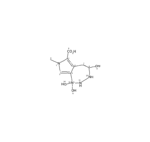 Cn1cc2c(c1C(=O)O)CC(O)NN[N+]2(O)O